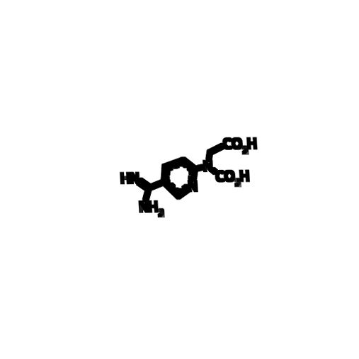 N=C(N)c1ccc(N(CC(=O)O)C(=O)O)nc1